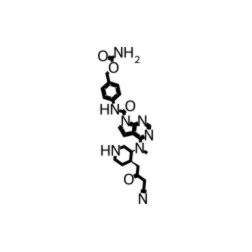 CN(c1ncnc2c1ccn2C(=O)Nc1ccc(COC(N)=O)cc1)[C@H]1CNCC[C@@H]1CC(=O)CC#N